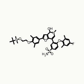 Cc1cc(-c2cc3c(o2)C(c2cc(S(N)(=O)=O)ccc2Oc2c(C)cc(F)cc2C)=CN(C)C3O)cc(C)c1OCCO[Si](C)(C)C(C)(C)C